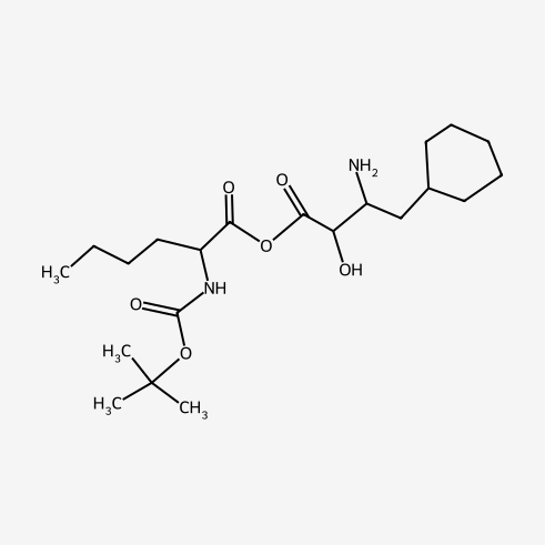 CCCCC(NC(=O)OC(C)(C)C)C(=O)OC(=O)C(O)C(N)CC1CCCCC1